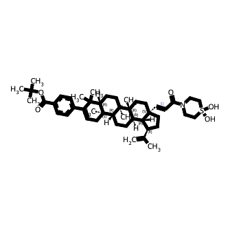 C=C(C)[C@@H]1CC[C@]2(/C=C/C(=O)N3CCS(O)(O)CC3)CC[C@]3(C)[C@H](CC[C@@H]4[C@@]5(C)CC=C(c6ccc(C(=O)OC(C)(C)C)cc6)C(C)(C)[C@@H]5CC[C@]43C)[C@@H]12